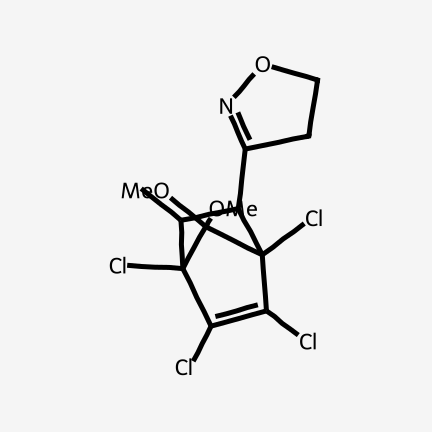 COC1(OC)C2(Cl)C(Cl)=C(Cl)C1(Cl)C(C1=NOCC1)C2C